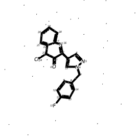 O=C1C(c2cnn(Cc3ccc(F)cc3)c2)=Nc2ccccc2C1Cl